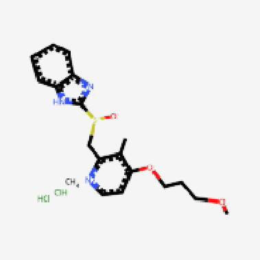 C.COCCCOc1ccnc(C[S+]([O-])c2nc3ccccc3[nH]2)c1C.Cl.Cl